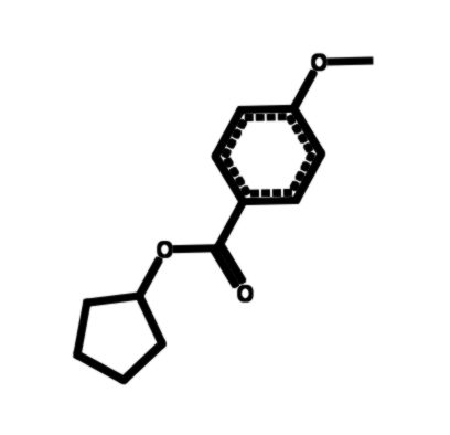 COc1ccc(C(=O)OC2CCCC2)cc1